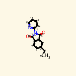 CCc1ccc2c(c1)C(=O)N(c1ccccn1)C2=O